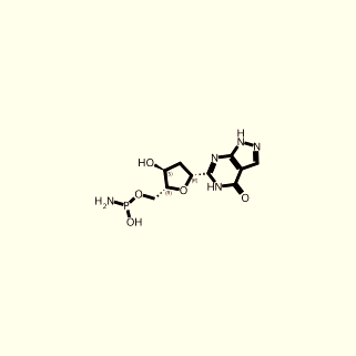 NP(O)OC[C@H]1O[C@@H](c2nc3[nH]ncc3c(=O)[nH]2)C[C@@H]1O